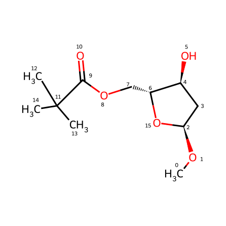 CO[C@@H]1C[C@H](O)[C@@H](COC(=O)C(C)(C)C)O1